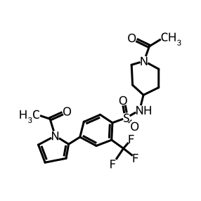 CC(=O)N1CCC(NS(=O)(=O)c2ccc(-c3cccn3C(C)=O)cc2C(F)(F)F)CC1